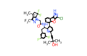 C[C@H]1CC(F)(F)c2c1c(C(F)(F)F)nn2CC(=O)NC(Cc1cc(F)cc(F)c1)c1nc(C#CC(C)(C)O)ccc1-c1cccc2c1oc1c(Cl)n[nH]c12